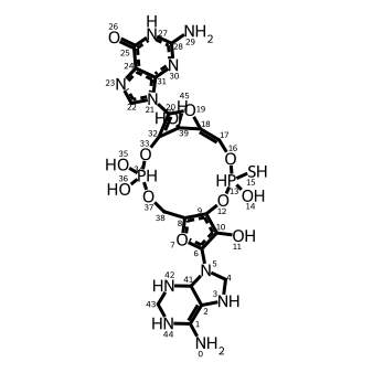 NC1=C2NCN(c3oc4c(c3O)O[PH](O)(S)O/C=C3/OC(n5cnc6c(=O)[nH]c(N)nc65)=C(O[PH](O)(O)OC4)[C@@H]3O)C2NCN1